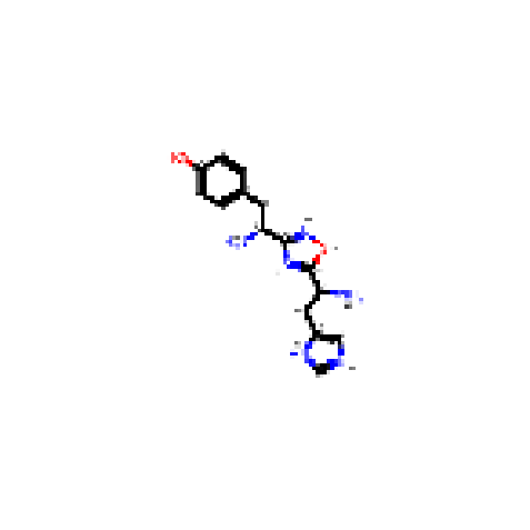 N[C@@H](Cc1ccc(O)cc1)c1noc([C@@H](N)Cc2cnc[nH]2)n1